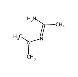 CC(N)=NN(C)C